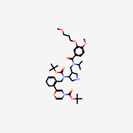 COCCCOc1cc(C(=O)N(CC2CNCC2N(CC2=C(C3=CN(C(=O)OC(C)(C)C)C=CO3)CCC=C2)C(=O)OC(C)(C)C)C(C)C)ccc1OC